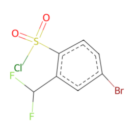 O=S(=O)(Cl)c1ccc(Br)cc1C(F)F